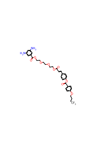 Nc1cc(N)cc(C(=O)OCCOCCOCCOC(=O)C=Cc2ccc(OC(=O)c3ccc(OCCCC(F)(F)F)cc3)cc2)c1